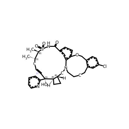 C[C@@H]1[C@@H](C)C/C=C/[C@](O)(c2ccccn2)[C@@H]2CC[C@H]2CN2CCCCc3cc(Cl)ccc3COc3ccc(cc32)C(=O)NS1(=O)=O